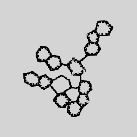 c1ccc2c(c1)-c1cc3ccccc3cc1CCC2c1c(-c2nc(-c3ccc4ccccc4c3)nc(-c3ccc4c(c3)sc3ccccc34)n2)ccc2oc3ccccc3c12